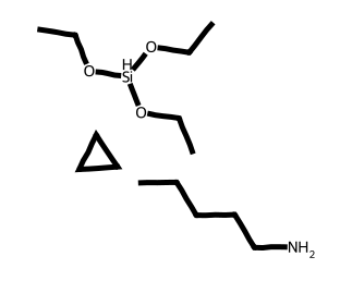 C1CC1.CCCCCN.CCO[SiH](OCC)OCC